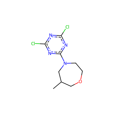 CC1COCCN(c2nc(Cl)nc(Cl)n2)C1